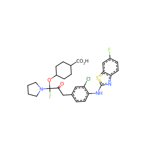 O=C(O)C1CCC(OC(F)(C(=O)Cc2ccc(Nc3nc4ccc(F)cc4s3)c(Cl)c2)N2CCCC2)CC1